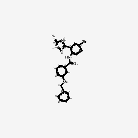 O=C(Nc1ccc(Br)cc1-c1noc(=O)[nH]1)c1cccc(OCc2ccccc2)c1